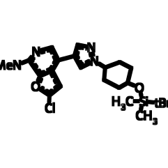 CNc1ncc(-c2cnn(C3CCC(O[Si](C)(C)C(C)(C)C)CC3)c2)c2cc(Cl)oc12